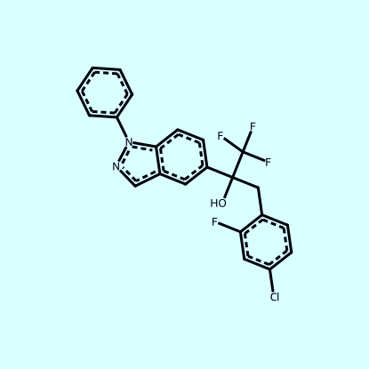 OC(Cc1ccc(Cl)cc1F)(c1ccc2c(cnn2-c2ccccc2)c1)C(F)(F)F